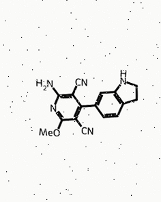 COc1nc(N)c(C#N)c(-c2ccc3c(c2)NCC3)c1C#N